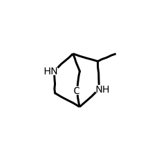 CC1NC2CCC1NC2